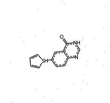 O=c1[nH]cnc2ccc([SH]3C=CC=C3)cc12